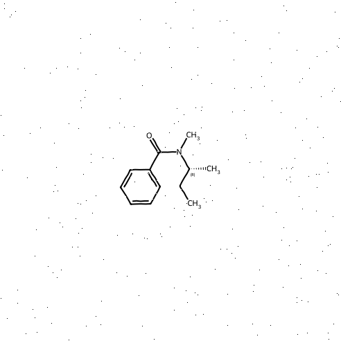 CC[C@@H](C)N(C)C(=O)c1ccccc1